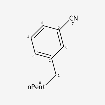 CCCCCCc1cccc(C#N)c1